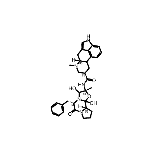 CN1C[C@H](C(=O)N[C@]2(C)OC3(O)[C@@H]4CCCN4C(=O)[C@H](Cc4ccccc4)N3C2O)CC2c3cccc4[nH]cc(c34)C[C@H]21